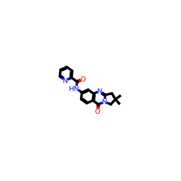 CC1(C)Cc2nc3cc(NC(=O)c4ccccn4)ccc3c(=O)n2C1